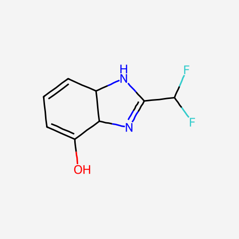 OC1=CC=CC2NC(C(F)F)=NC12